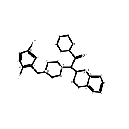 O=C(C1CCCCC1)C(C1CCc2ccccc2N1)N1CCN(Cc2cc(F)ccc2F)CC1